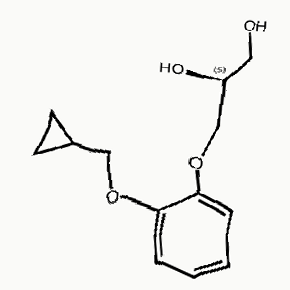 OC[C@H](O)COc1ccccc1OCC1CC1